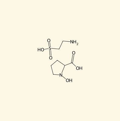 NCCS(=O)(=O)O.O=C(O)C1CCCN1O